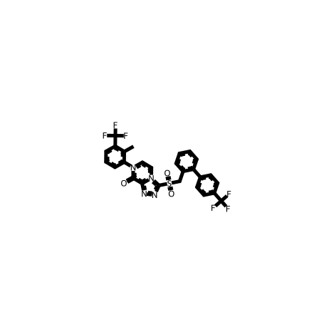 Cc1c(-n2ccn3c(S(=O)(=O)Cc4ccccc4-c4ccc(C(F)(F)F)cc4)nnc3c2=O)cccc1C(F)(F)F